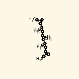 Cc1ccc(-n2c3ccccc3c3cc(-c4ccc5c(c4)C(C)(C)c4cc(-c6ccc7c(c6)C(C)(C)c6cc(-c8ccc9c(c8)C(C)(C)c8cc(-c%10ccc%11c(c%10)c%10ccccc%10n%11-c%10ccc(C)cc%10)ccc8-9)ccc6-7)ccc4-5)ccc32)cc1